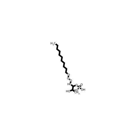 CCCCCCCCCCCOOOPC(OP(=O)(O)O)C(C)O